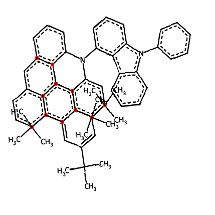 CC(C)(C)C1=CC(C(C)(C)C)CC(c2cccc3cccc(-c4ccccc4N(c4ccccc4-c4cc(C(C)(C)C)cc(C(C)(C)C)c4)c4cccc5c4c4ccccc4n5-c4ccccc4)c23)=C1